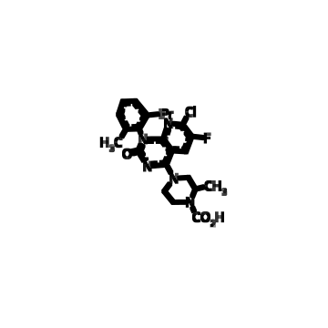 Cc1cccc(C(C)C)c1-n1c(=O)nc(N2CCN(C(=O)O)C(C)C2)c2cc(F)c(Cl)nc21